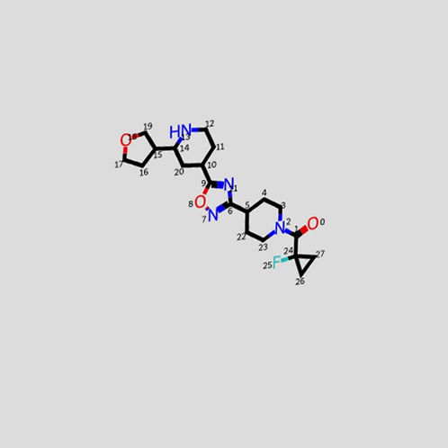 O=C(N1CCC(c2noc(C3CCNC(C4CCOC4)C3)n2)CC1)C1(F)CC1